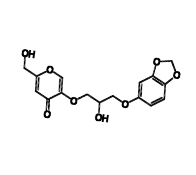 O=c1cc(CO)occ1OCC(O)COc1ccc2c(c1)OCO2